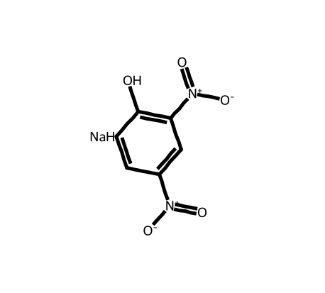 O=[N+]([O-])c1ccc(O)c([N+](=O)[O-])c1.[NaH]